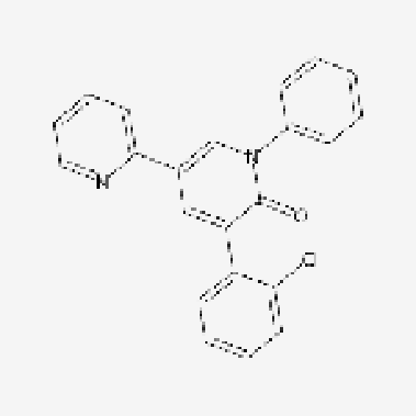 O=c1c(-c2ccccc2Cl)cc(-c2ccccn2)cn1-c1ccccc1